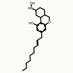 CCCCCCCC=CCc1cc(O)c2c(c1)OCC1CCC(NO)CC21